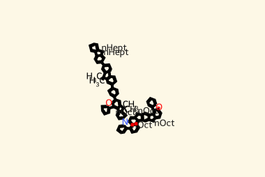 CCCCCCCCC1(CCCCCCCC)c2cc(N(c3ccc4c(c3)C(C)(C)c3cc(-c5ccc(-c6ccc7c(c6)C(C)(C)c6cc(-c8ccc9c(c8)C(CCCCCCC)(CCCCCCC)c8ccccc8-9)ccc6-7)cc5)c5oc6ccccc6c5c3-4)c3ccccc3-c3ccccc3)ccc2-c2cc3c(cc21)-c1c(ccc2oc4ccccc4c12)C3(CCCCCCCC)CCCCCCCC